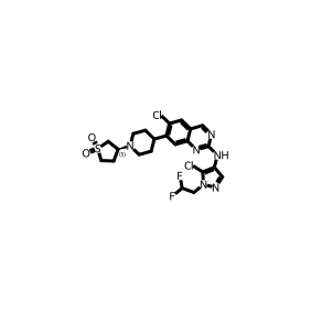 O=S1(=O)CC[C@H](N2CCC(c3cc4nc(Nc5cnn(CC(F)F)c5Cl)ncc4cc3Cl)CC2)C1